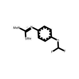 CN/C(=N/c1ccc(OC(F)F)cc1)SC